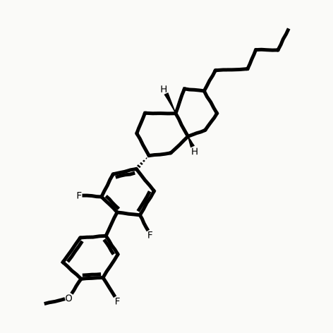 CCCCCC1CC[C@@H]2C[C@H](c3cc(F)c(-c4ccc(OC)c(F)c4)c(F)c3)CC[C@@H]2C1